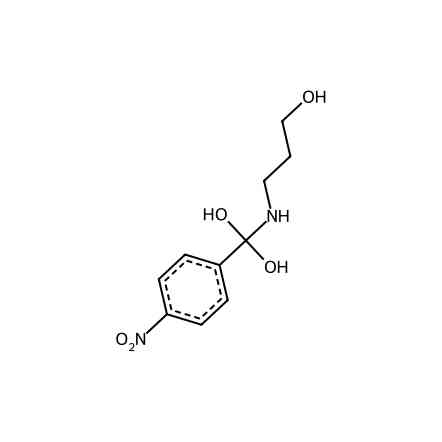 O=[N+]([O-])c1ccc(C(O)(O)NCCCO)cc1